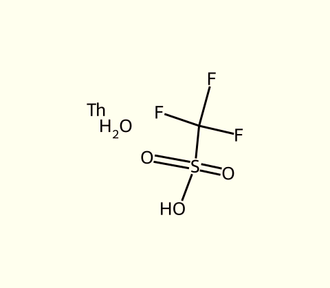 O.O=S(=O)(O)C(F)(F)F.[Th]